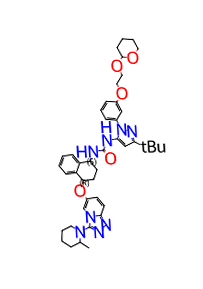 CC1CCCCN1c1nnc2ccc(O[C@@H]3CC[C@H](NC(=O)Nc4cc(C(C)(C)C)nn4-c4cccc(OCCOC5CCCCO5)c4)c4ccccc43)cn12